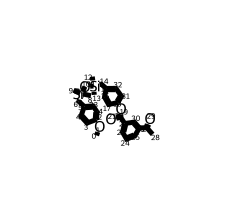 COc1ccc(C[Si](C)(C)O[Si](C)(C)Cc2ccc(OC(=O)c3cccc(C(C)=O)c3)cc2)cc1